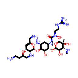 CN[C@@H]1[C@@H](O)[C@@H](O[C@H]2[C@H](NC(=O)N(O)CCNC(=N)N)C[C@H](N)C(O[C@H]3OC(CN)=CC[C@H]3NCC(O)CCN)[C@@H]2O)OC[C@]1(C)O